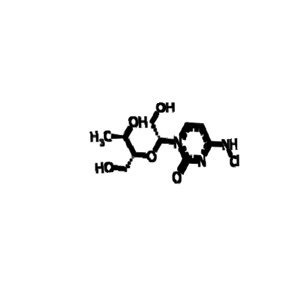 C[C@@H](O)[C@@H](CO)O[C@H](CO)n1ccc(NCl)nc1=O